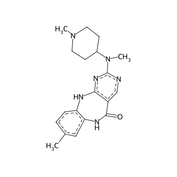 Cc1ccc2c(c1)NC(=O)c1cnc(N(C)C3CCN(C)CC3)nc1N2